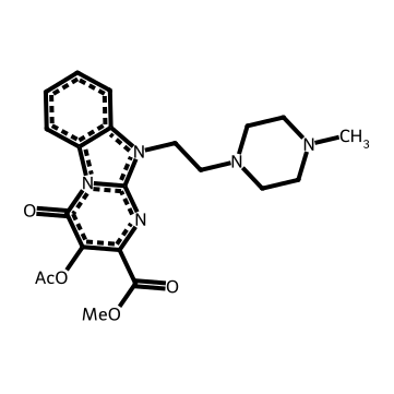 COC(=O)c1nc2n(CCN3CCN(C)CC3)c3ccccc3n2c(=O)c1OC(C)=O